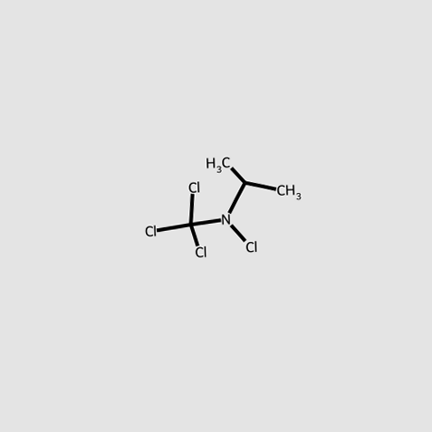 CC(C)N(Cl)C(Cl)(Cl)Cl